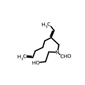 C=CCCC/C(=C\C)CN(C=O)CCO